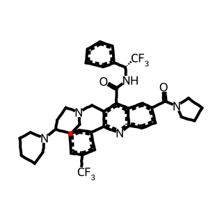 O=C(N[C@H](c1ccccc1)C(F)(F)F)c1c(CN2CCC(N3CCCCC3)CC2)c(-c2cccc(C(F)(F)F)c2)nc2ccc(C(=O)N3CCCC3)cc12